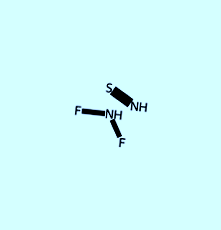 FNF.N=S